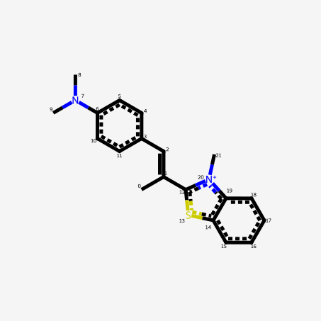 C/C(=C\c1ccc(N(C)C)cc1)c1sc2ccccc2[n+]1C